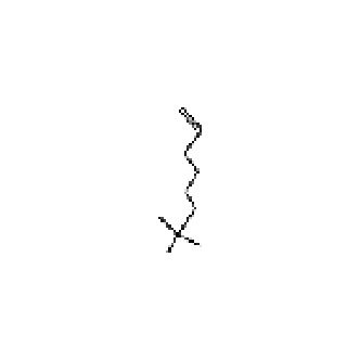 [CH]=CCCCCC(C)(C)C